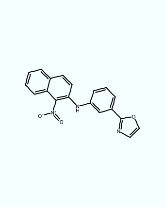 O=[N+]([O-])c1c(Nc2cccc(-c3ncco3)c2)ccc2ccccc12